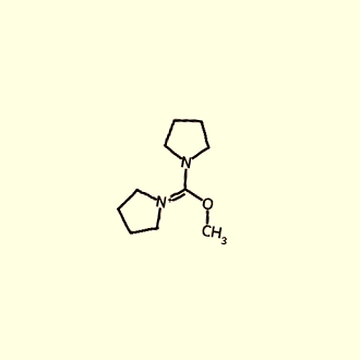 COC(N1CCCC1)=[N+]1CCCC1